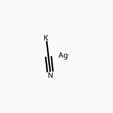 N#[C][K].[Ag]